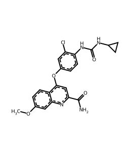 COc1ccc2c(Oc3ccc(NC(=O)NC4CC4)c(Cl)c3)cc(C(N)=O)nc2c1